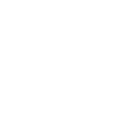 CC1CCCCC1.O=COc1ccc(O)cc1